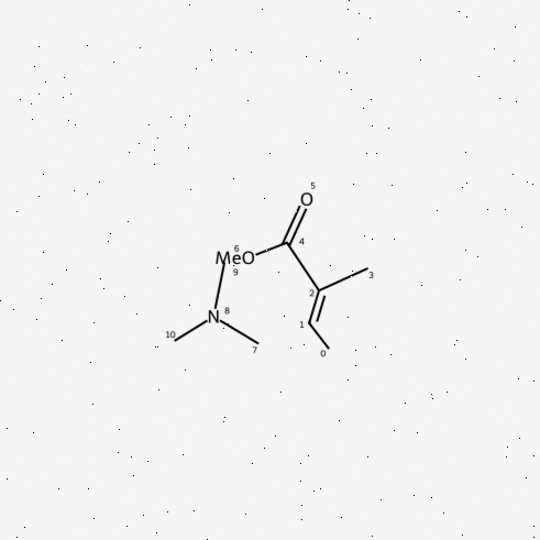 CC=C(C)C(=O)OC.CN(C)C